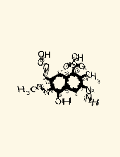 [2H]N=Nc1cc2c(O)c(N=NC)c(SOOO)cc2c(S(=O)(=O)O)c1C